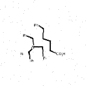 CC(C)CCCCC(=O)O.CC(C)[CH2][Al]([CH2]C(C)C)[CH2]C(C)C.[Ni]